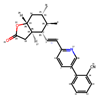 C[C@H]1[C@H](/C=C/c2ccc(-c3ccccc3C#N)cn2)[C@H]2CC(=O)O[C@@H]2C[C@@H]1C